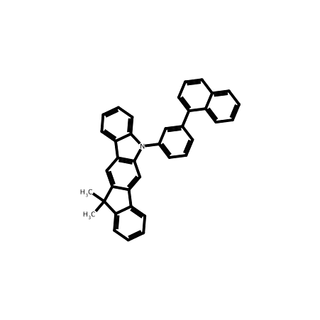 CC1(C)c2ccccc2-c2cc3c(cc21)c1ccccc1n3-c1cccc(-c2cccc3ccccc23)c1